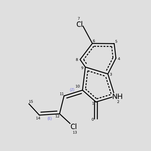 C=c1[nH]c2ccc(Cl)cc2/c1=C/C(Cl)=C\C